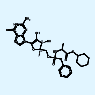 CC(NP(=O)(OC[C@@]1(F)OC(n2cnc3c(=O)[nH]c(N)nc32)=C(O)[C@@H]1O)Oc1ccccc1)C(=O)OC1CCCCC1